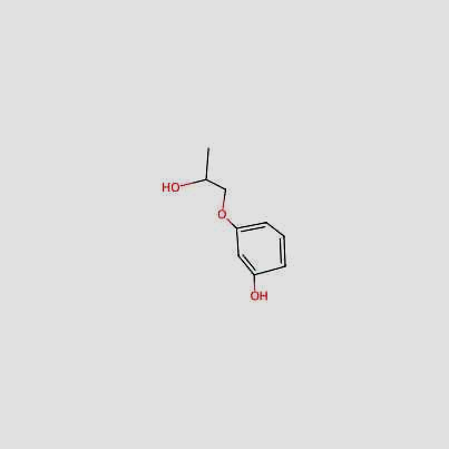 CC(O)COc1cccc(O)c1